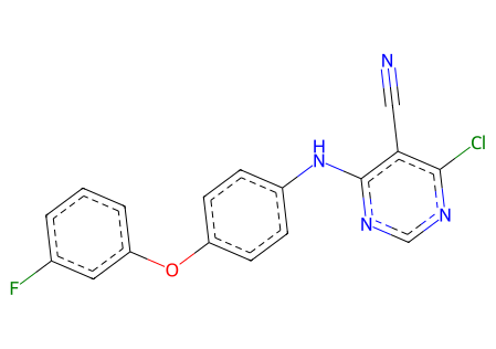 N#Cc1c(Cl)ncnc1Nc1ccc(Oc2cccc(F)c2)cc1